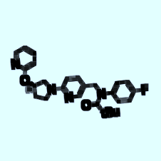 CC(C)(C)C(=O)N(Cc1ccc(N2CC[C@@H](Oc3ccccn3)C2)nc1)c1ccc(F)cc1